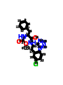 CC(C)(C)OC(=O)NC(Cc1ccccc1)C(=O)NCCc1cc(Cl)ccc1-n1cnnn1